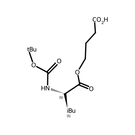 CC[C@H](C)[C@H](NC(=O)OC(C)(C)C)C(=O)OCCCC(=O)O